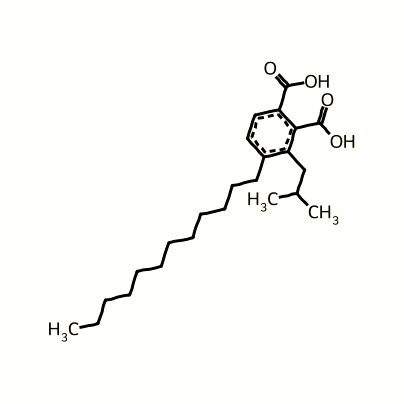 CCCCCCCCCCCCc1ccc(C(=O)O)c(C(=O)O)c1CC(C)C